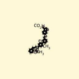 Cc1cc(OCc2cc3ccccc3n2S(C)(=O)=O)cc(C)c1-c1cccc(COc2ccc3c(c2)OCC3CC(=O)O)c1